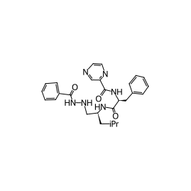 CC(C)C[C@@H](CNNC(=O)c1ccccc1)NC(=O)[C@H](Cc1ccccc1)NC(=O)c1cnccn1